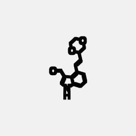 O=Cc1c[nH]c2cccc(C=CC3COCCO3)c12